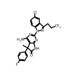 CC1(c2ccc(F)cc2)C(=O)Nc2nc(-n3nc(CCC(F)(F)F)c4cc(Cl)ccc43)nc(N)c21